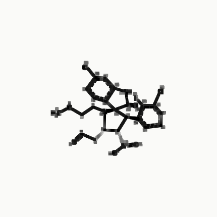 COCCN1[C@@H](CC=O)[C@@H]([N+](=O)[O-])[C@H](c2cccc(Cl)c2F)[C@]12C(=O)Nc1cc(Cl)ccc12